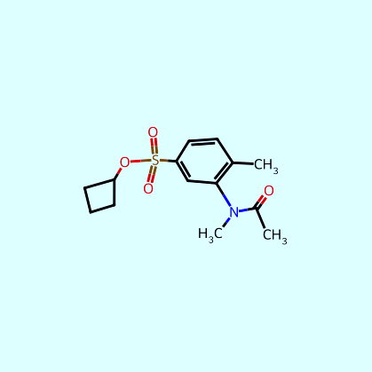 CC(=O)N(C)c1cc(S(=O)(=O)OC2CCC2)ccc1C